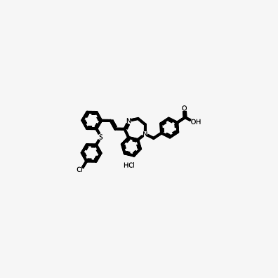 Cl.O=C(O)c1ccc(CN2CCN=C(C=Cc3ccccc3Sc3ccc(Cl)cc3)c3ccccc32)cc1